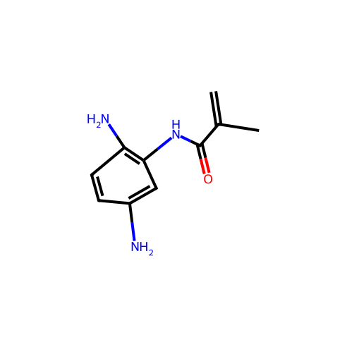 C=C(C)C(=O)Nc1cc(N)ccc1N